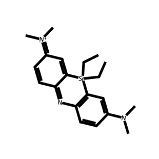 CC[Si]1(CC)C2=CC(=[N+](C)C)C=CC2=Nc2ccc(N(C)C)cc21